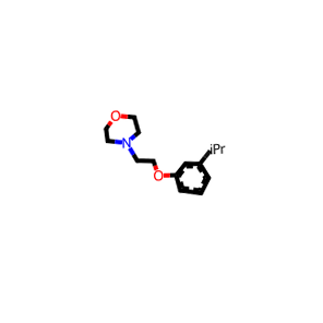 CC(C)c1cccc(OCCN2CCOCC2)c1